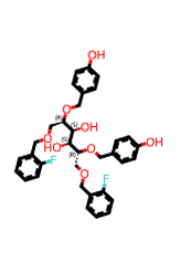 Oc1ccc(CO[C@H](COCc2ccccc2F)[C@@H](O)[C@H](O)[C@@H](COCc2ccccc2F)OCc2ccc(O)cc2)cc1